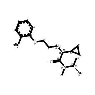 CCCCc1ccccc1OCCN[C@H](C(=O)N(C)[C@H](C)C(C)=O)C1CC1